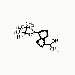 CC(O)c1cccc2c(B3OC(C)(C)C(C)(C)O3)cccc12